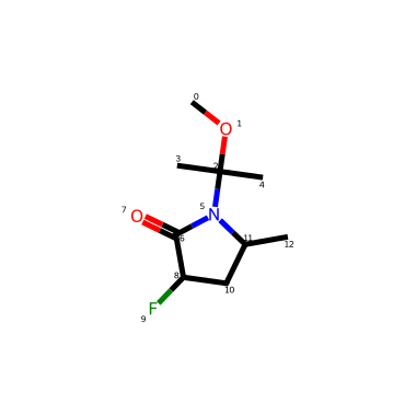 COC(C)(C)N1C(=O)C(F)CC1C